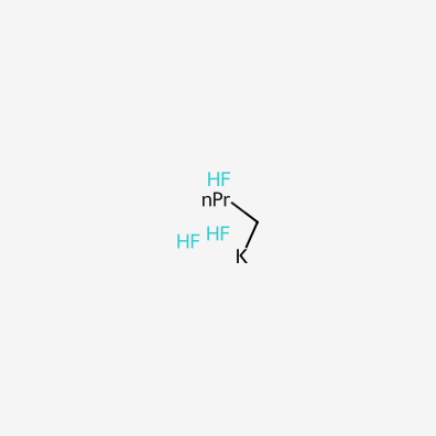 CCC[CH2][K].F.F.F